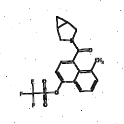 Cc1cccc2c(OS(=O)(=O)C(F)(F)F)ccc(C(=O)N3CC4CC4C3)c12